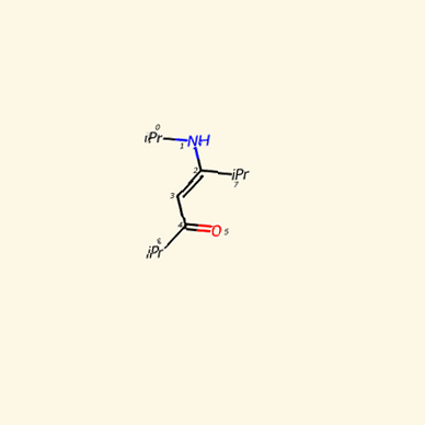 CC(C)NC(=CC(=O)C(C)C)C(C)C